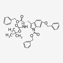 CC(C)(C)OC(=O)N[C@@H](Cc1cn(C(=O)OCc2ccccc2)c2cc(OCc3ccccc3)ccc12)C(=O)OCc1ccccc1